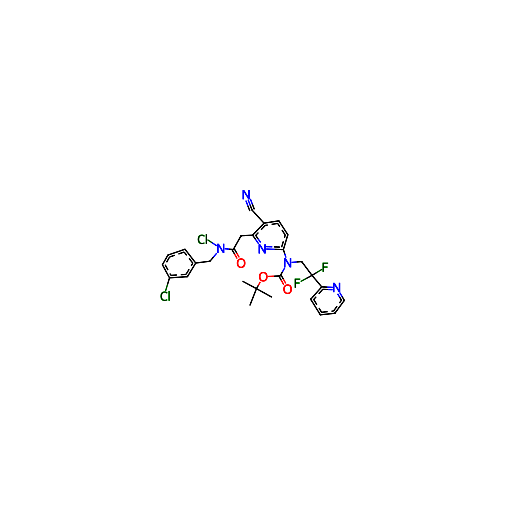 CC(C)(C)OC(=O)N(CC(F)(F)c1ccccn1)c1ccc(C#N)c(CC(=O)N(Cl)Cc2cccc(Cl)c2)n1